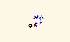 C[C@@H](C(=O)Nc1ccc(Oc2ccc(F)cc2)cn1)N1CCC(F)(F)[C@@H](c2c[nH]c(=O)c(C(N)=O)c2)C1